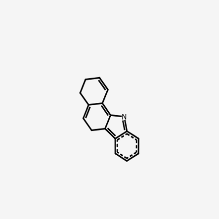 C1=CC2=C3N=c4ccccc4=C3CC=C2CC1